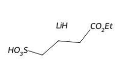 CCOC(=O)CCCS(=O)(=O)O.[LiH]